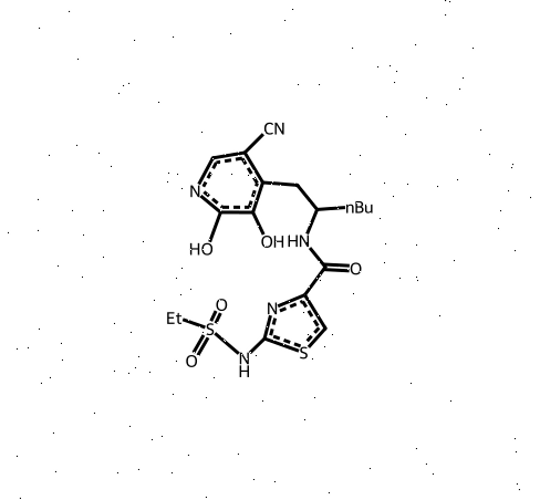 CCCCC(Cc1c(C#N)cnc(O)c1O)NC(=O)c1csc(NS(=O)(=O)CC)n1